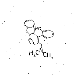 CN(C)CC1=C(c2ccccc2O)c2cc3ccccc3cc2OC1